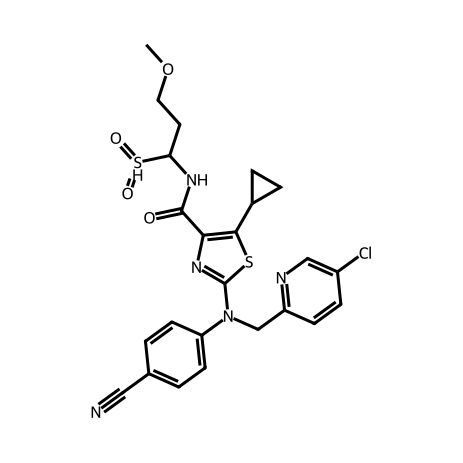 COCCC(NC(=O)c1nc(N(Cc2ccc(Cl)cn2)c2ccc(C#N)cc2)sc1C1CC1)[SH](=O)=O